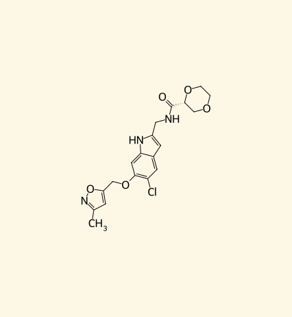 Cc1cc(COc2cc3[nH]c(CNC(=O)[C@H]4COCCO4)cc3cc2Cl)on1